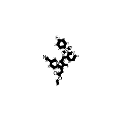 CCOC(=O)Cc1c(C)c(Cc2cccnc2S(=O)(=O)c2ccc(F)cc2)n2cc(C#N)ccc12